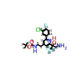 CC(C)(C)OC(=O)NCCc1cc(-c2ccc(F)c(Cl)c2)nc(C(O)(CN)C(F)(F)F)c1